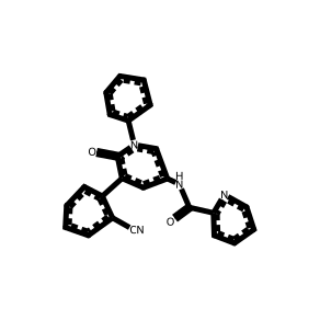 N#Cc1ccccc1-c1cc(NC(=O)c2ccccn2)cn(-c2ccccc2)c1=O